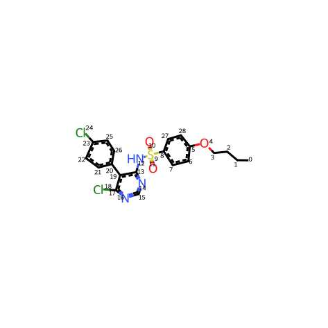 CCCCOc1ccc(S(=O)(=O)Nc2ncnc(Cl)c2-c2ccc(Cl)cc2)cc1